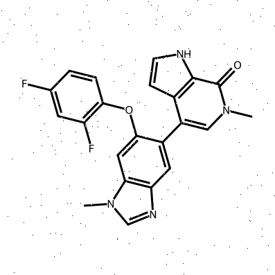 Cn1cc(-c2cc3ncn(C)c3cc2Oc2ccc(F)cc2F)c2cc[nH]c2c1=O